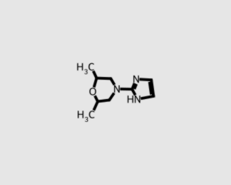 CC1CN(c2ncc[nH]2)CC(C)O1